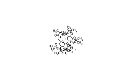 C=C(C)C(=O)OC[C@H]1O[C@H](O[C@@H]2C[C@@H](O[Si](C)(C)C)[C@H](O[Si](C)(C)C)[C@@H](CO)O2)[C@H](O[Si](C)(C)C)[C@@H](O[Si](C)(C)C)[C@@H]1O[Si](C)(C)C